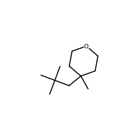 CC(C)(C)CC1(C)CCOCC1